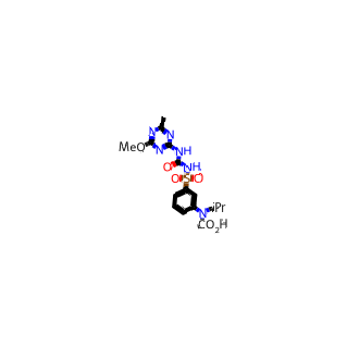 COc1nc(C)nc(NC(=O)NS(=O)(=O)c2cccc(N(C(=O)O)C(C)C)c2)n1